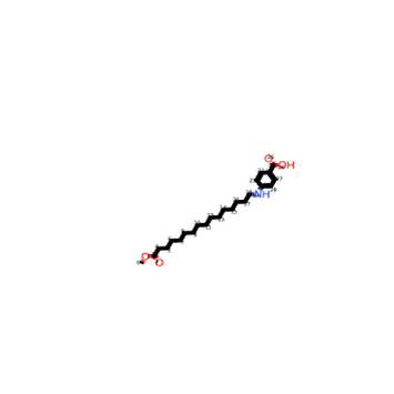 COC(=O)CCCCCCCCCCCCCCCNc1ccc(C(=O)O)cc1